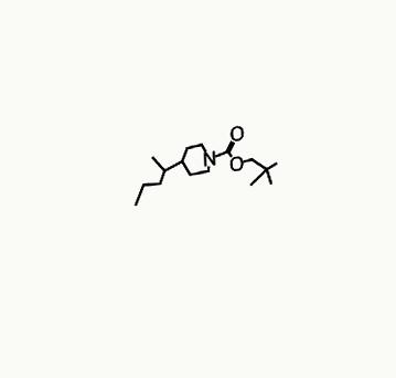 CCCC(C)C1CCN(C(=O)OCC(C)(C)C)CC1